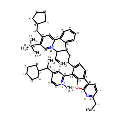 C=CC1C(CCc2ccc3c(oc4nc(CC(C)(C)C)ccc43)c2-c2cc(C(C)C3CCCCC3)cc[n+]2C)c2ccccc2-c2cc(CC3CCCC3)c([Si](C)(C)C)c[n+]21